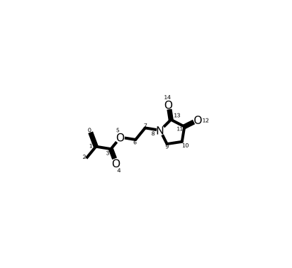 C=C(C)C(=O)OCCN1CCC(=O)C1=O